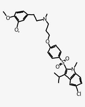 COc1ccc(CCN(C)CCCOc2ccc(S(=O)(=O)c3c(C(C)C)c4cc(Cl)ccc4n3C)cc2)cc1OC